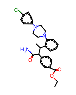 CCOC(=O)c1ccc(C(C(N)=O)C(C)c2ccccc2N2CCN(c3ccc(Cl)cc3)CC2)cc1